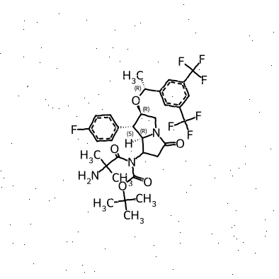 C[C@@H](O[C@H]1CN2C(=O)CC(N(C(=O)OC(C)(C)C)C(=O)C(C)(C)N)[C@H]2[C@@H]1c1ccc(F)cc1)c1cc(C(F)(F)F)cc(C(F)(F)F)c1